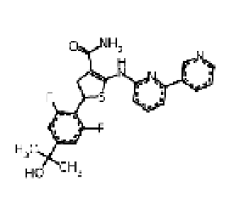 CC(C)(O)c1cc(F)c(C2CC(C(N)=O)=C(Nc3cccc(-c4cccnc4)n3)S2)c(F)c1